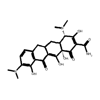 CN(C)c1ccc2c(c1O)C(=O)C1=C(O)[C@]3(O)C(=O)C(C(N)=O)=C(O)[C@@H](N(C)C)C3CC1C2